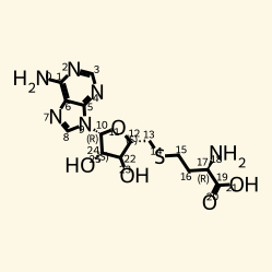 Nc1ncnc2c1ncn2[C@@H]1O[C@H](CSCC[C@@H](N)C(=O)O)C(O)[C@@H]1O